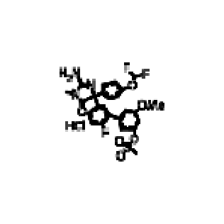 COc1cc(OS(C)(=O)=O)cc(-c2cc(C3(c4ccc(OC(F)F)cc4)N=C(N)N(C)C3=O)ccc2F)c1.Cl